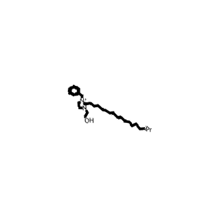 CC(C)CCCCCCCCCCCCCCC1=[N+](Cc2ccccc2)CCN1CCO